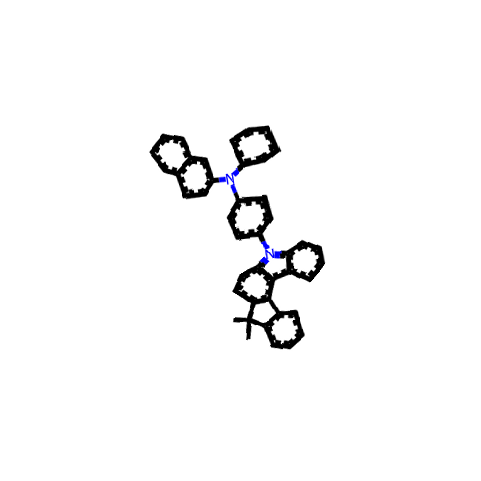 CC1(C)c2ccccc2-c2c1ccc1c2c2ccccc2n1-c1ccc(N(c2ccccc2)c2ccc3ccccc3c2)cc1